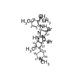 Cc1ccc(Nc2nc(Nc3cc(C)c(C4CCN(C)CC4)cc3OC(C)C)ncc2Br)c(P(C)C)c1